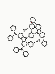 N#Cc1ccccc1-c1cc(-n2c3cc(-c4ccccc4)ccc3c3ccc(-c4ccccc4)cc32)c(-c2ccccc2C#N)cc1-n1c2ccc(N(c3ccccc3)c3ccccc3)cc2c2cc(N(c3ccccc3)c3ccccc3)ccc21